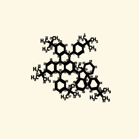 CC(C)(C)c1ccc(N2c3ccc(C(C)(C)C)cc3B3c4ccc(C(C)(C)C)cc4N(c4cccc(C(C)(C)C)c4)c4cc(N5c6ccccc6C6(c7ccc(C(C)(C)C)cc7)CCCCC56C)cc2c43)cc1